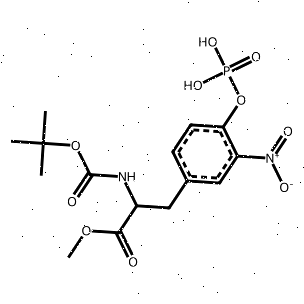 COC(=O)C(Cc1ccc(OP(=O)(O)O)c([N+](=O)[O-])c1)NC(=O)OC(C)(C)C